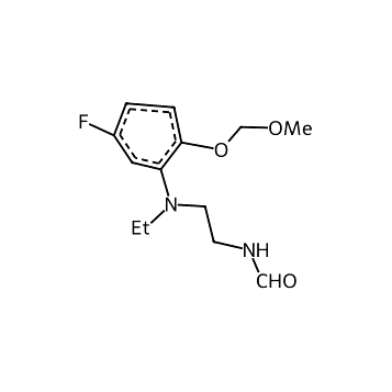 CCN(CCNC=O)c1cc(F)ccc1OCOC